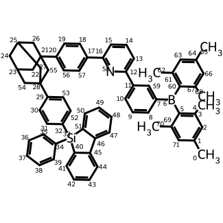 Cc1cc(C)c(B(c2cccc(-c3cccc(-c4ccc(C56CC7CC(C5)CC(c5ccc([Si]8(c9ccccc9)c9ccccc9-c9ccccc98)cc5)(C7)C6)cc4)n3)c2)c2c(C)cc(C)cc2C)c(C)c1